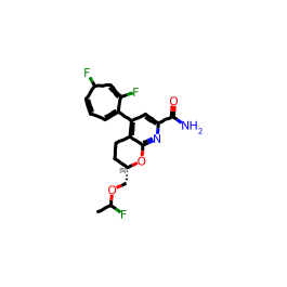 CC(F)OC[C@@H]1CCc2c(C3=CC=CC(F)C=C3F)cc(C(N)=O)nc2O1